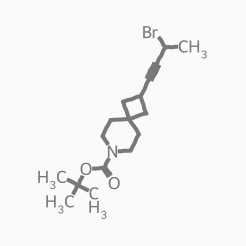 CC(Br)C#CC1CC2(CCN(C(=O)OC(C)(C)C)CC2)C1